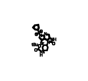 CC1(NC(=O)OC(C)(C)C)CCC(n2c(=O)[nH]c3cnc4c(c(Br)cn4S(=O)(=O)c4ccccc4)c32)CC1